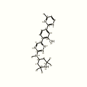 Cc1ccnc(-c2ccc(-c3cnc(N(C)C4CC(C)(C)NC(C)(C)C4)nn3)c(O)c2)n1